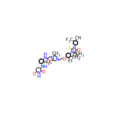 CCc1c(OCCN2C[C@@H](C)N(CC(=O)Nc3cccc(NC4CCC(=O)NC4=O)c3)[C@@H](C)C2)ccc(N2C(=S)N(c3ccc(C#N)c(C(F)(F)F)c3)C(=O)C2(C)C)c1C